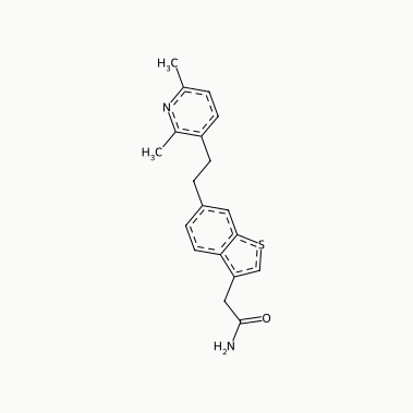 Cc1ccc(CCc2ccc3c(CC(N)=O)csc3c2)c(C)n1